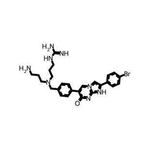 N=C(N)NCCCN(CCCN)Cc1ccc(-c2cn3cc(-c4ccc(Br)cc4)[nH]c3nc2=O)cc1